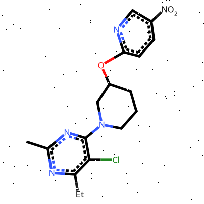 CCc1nc(C)nc(N2CCCC(Oc3ccc([N+](=O)[O-])cn3)C2)c1Cl